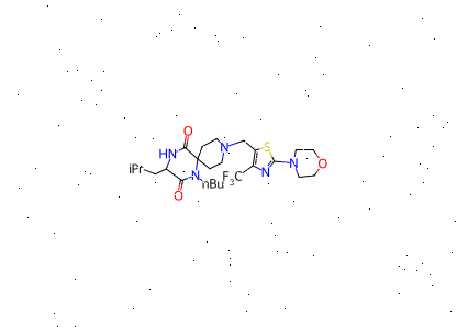 CCCCN1C(=O)C(CC(C)C)NC(=O)C12CCN(Cc1sc(N3CCOCC3)nc1C(F)(F)F)CC2